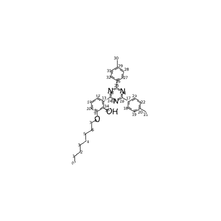 CCCCCCCCOc1cccc(-c2nc(-c3ccc(C)cc3)nc(-c3ccc(C)cc3)n2)c1O